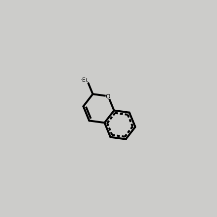 C[CH]C1C=Cc2ccccc2O1